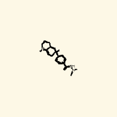 C=C(NN(C)C)c1ccc(C2(C)C=C3CCCN(C)C3=CC2)cc1